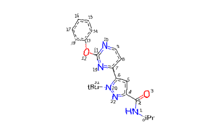 CC(C)NC(=O)c1cc(-c2ccnc(Oc3ccccc3)n2)n(C(C)(C)C)n1